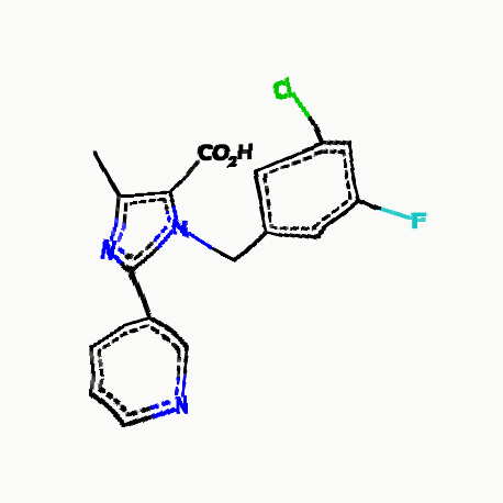 Cc1nc(-c2cccnc2)n(Cc2cc(F)cc(Cl)c2)c1C(=O)O